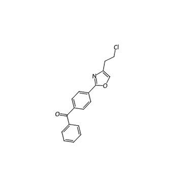 O=C(c1ccccc1)c1ccc(-c2nc(CCCl)co2)cc1